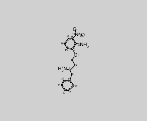 Nc1c(OCCC(N)Cc2ccccc2)cccc1[N+](=O)[O-]